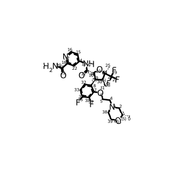 C[C@H]1CN(CCOc2c([C@H]3[C@H](C(=O)Nc4ccnc(C(N)=O)c4)O[C@@](C)(C(F)(F)F)[C@H]3C)ccc(F)c2F)CCO1